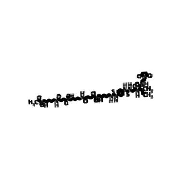 CC[C@H](C)[C@H](NC(=O)CNC(=S)Nc1ccc(NC(=S)NCCCCCN(O)C(=O)CCC(=O)NCCCCCN(O)C(=O)CCC(=O)NCCCCCN(O)C(C)=O)cc1)C(=O)NCCN1C(=O)C=CC1=O